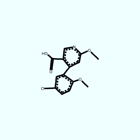 COc1cc(-c2cc(Cl)ccc2OC)c(C(=O)O)cn1